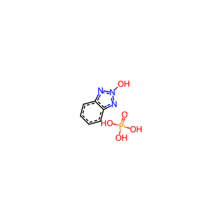 O=P(O)(O)O.On1nc2ccccc2n1